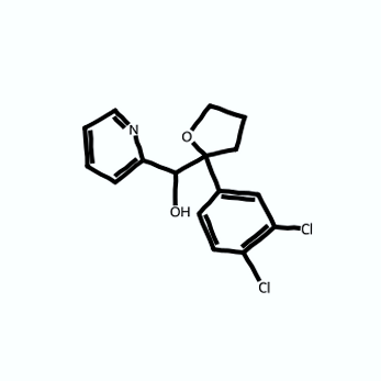 OC(c1ccccn1)C1(c2ccc(Cl)c(Cl)c2)CCCO1